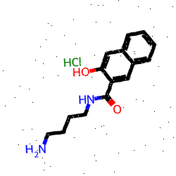 Cl.NCCCCNC(=O)c1cc2ccccc2cc1O